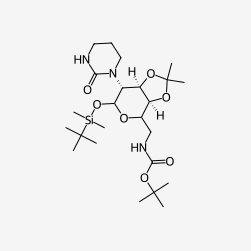 CC(C)(C)OC(=O)NCC1OC(O[Si](C)(C)C(C)(C)C)[C@H](N2CCCNC2=O)[C@H]2OC(C)(C)O[C@@H]12